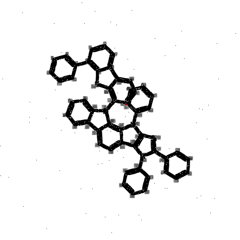 c1ccc(-c2cccc3c2sc2c(-n4c5ccccc5c5ccc6c7c(nc(-c8ccccc8)n7-c7ccccc7)n(-c7ccccc7)c6c54)cccc23)cc1